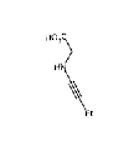 CCC#CNCC(=O)O